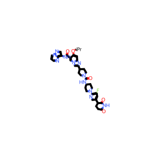 CC(C)Oc1cc2nc(C3CCN(C(=O)NC4CCN(c5ncc(C6CCC(=O)NC6=O)cc5F)CC4)CC3)cn2cc1C(=O)Nc1cnn2cccnc12